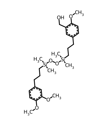 COc1ccc(CCC[Si](C)(C)OO[Si](C)(C)CCCc2ccc(OC)c(OC)c2)cc1CO